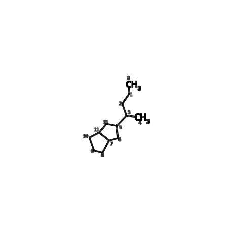 CCCC(C)C1CC2CCCC2C1